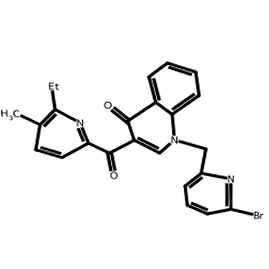 CCc1nc(C(=O)c2cn(Cc3cccc(Br)n3)c3ccccc3c2=O)ccc1C